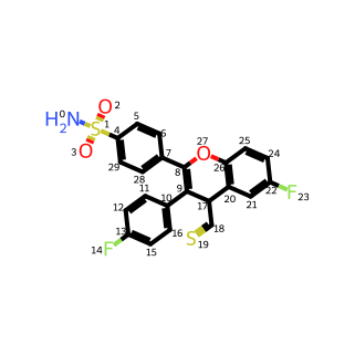 NS(=O)(=O)c1ccc(C2=C(c3ccc(F)cc3)C(C=S)c3cc(F)ccc3O2)cc1